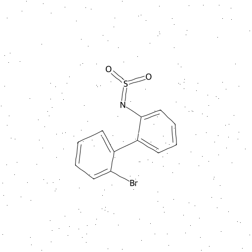 O=S(=O)=Nc1ccccc1-c1ccccc1Br